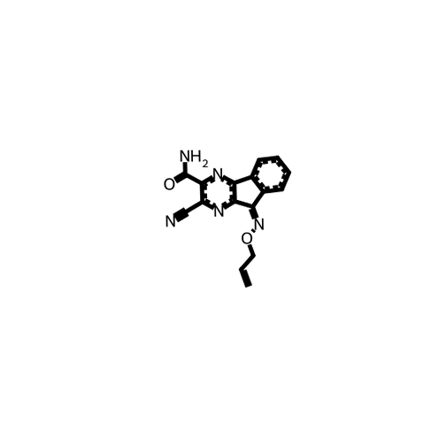 C=CCO/N=C1/c2ccccc2-c2nc(C(N)=O)c(C#N)nc21